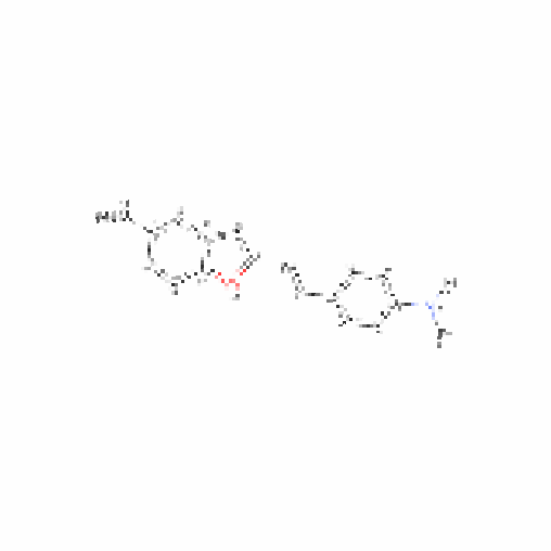 CCN(CC)c1ccc(C=Cc2cc3cc(OC)ccc3o2)cc1